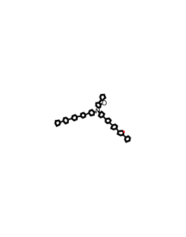 c1ccc(-c2ccc(-c3ccc(-c4ccc(-c5ccc(N(c6ccc(-c7ccc(-c8ccc(-c9ccc(-c%10ccccc%10)cc9)cc8)cc7)cc6)c6ccc7c(c6)oc6ccccc67)cc5)cc4)cc3)cc2)cc1